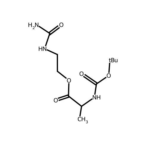 CC(NC(=O)OC(C)(C)C)C(=O)OCCNC(N)=O